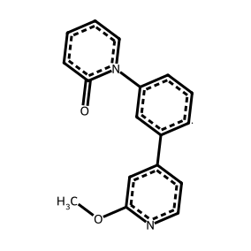 COc1cc(-c2[c]ccc(-n3ccccc3=O)c2)ccn1